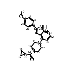 COc1ccc(-c2cc3c(N4CCN(C(=O)C5CC5)CC4)ccnc3[nH]2)cc1